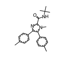 Cc1ccc(-c2nc(C(=O)NC(C)(C)C)n(C)c2-c2ccc(C)cc2)cc1